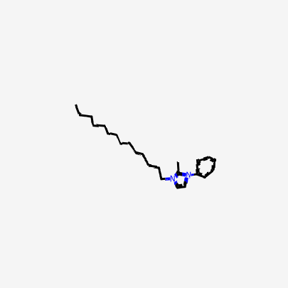 CCCCCCCCCCCCCC[n+]1ccn(-c2ccccc2)c1C